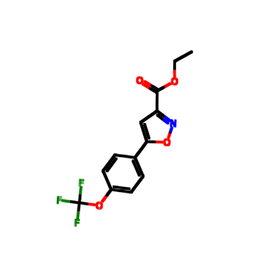 CCOC(=O)c1cc(-c2ccc(OC(F)(F)F)cc2)on1